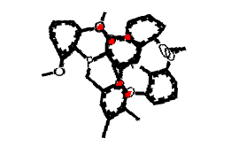 COc1cccc(OC)c1P(Cc1cc(C)c(C)cc1CP(c1c(OC)cccc1OC)c1c(OC)cccc1OC)c1c(OC)cccc1OC